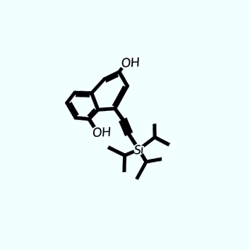 CC(C)[Si](C#Cc1cc(O)cc2cccc(O)c12)(C(C)C)C(C)C